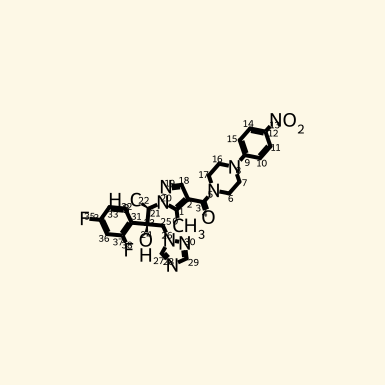 Cc1c(C(=O)N2CCN(c3ccc([N+](=O)[O-])cc3)CC2)cnn1[C@H](C)[C@](O)(Cn1cncn1)c1ccc(F)cc1F